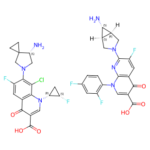 N[C@@H]1CN(c2c(F)cc3c(=O)c(C(=O)O)cn([C@@H]4C[C@@H]4F)c3c2Cl)CC12CC2.N[C@@H]1[C@H]2CN(c3nc4c(cc3F)c(=O)c(C(=O)O)cn4-c3ccc(F)cc3F)C[C@@H]12